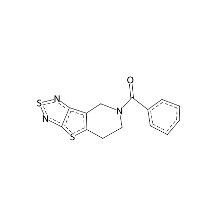 O=C(c1ccccc1)N1CCc2sc3nsnc3c2C1